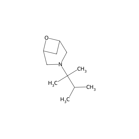 CC(C)C(C)(C)N1CC2CC(C1)O2